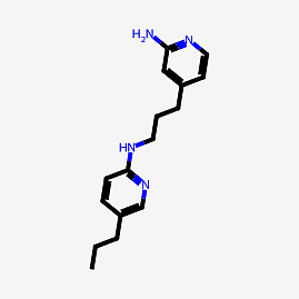 CCCc1ccc(NCCCc2ccnc(N)c2)nc1